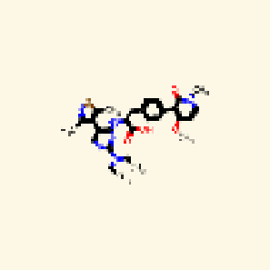 CCN(CC)c1ncc(-c2c(C)nsc2C)c(N[C@@H](Cc2ccc(-c3c(OC)ccn(C)c3=O)cc2)C(=O)O)n1